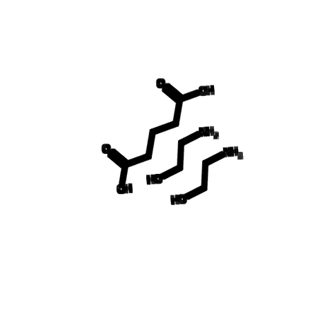 NCCO.NCCO.O=C(O)CCCC(=O)O